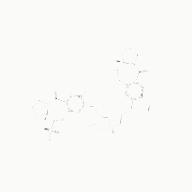 COc1cc2c(cc1OCCP(=O)(CCO)CCOc1cc3c(cc1OC)C(=O)N1CCC[C@H]1C(S(=O)(=O)O)N3)NC[C@@H]1CCCN1C2=O